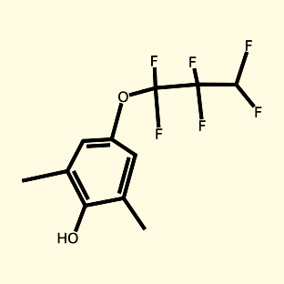 Cc1cc(OC(F)(F)C(F)(F)C(F)F)cc(C)c1O